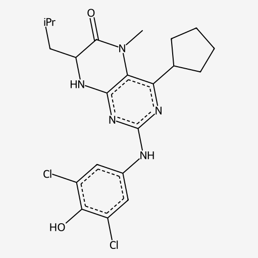 CC(C)CC1Nc2nc(Nc3cc(Cl)c(O)c(Cl)c3)nc(C3CCCC3)c2N(C)C1=O